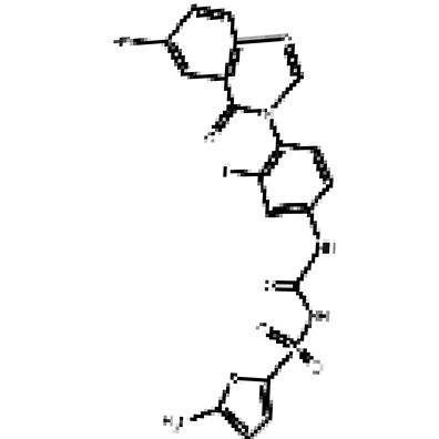 Cc1ccc(S(=O)(=O)NC(=O)Nc2ccc(-n3cnc4ccc(S)cc4c3=O)c(F)c2)s1